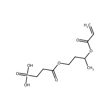 C=CC(=O)OC(C)CCOC(=O)CCP(=O)(O)O